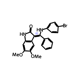 COc1cc2c(cc1OC)/C(=C(/Nc1ccc(Br)cc1)c1ccccc1)C(=O)N2